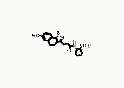 Cn1nc(CCC(=O)Nc2ccccc2C(=O)O)c2c1-c1ccc(O)cc1CC2